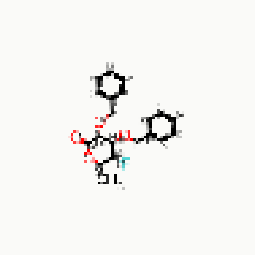 C[C@H]1OC(=O)[C@H](OCc2ccccc2)[C@@H](OCc2ccccc2)[C@@H]1F